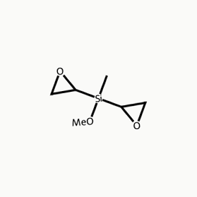 CO[Si](C)(C1CO1)C1CO1